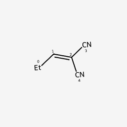 [CH2]CC=C(C#N)C#N